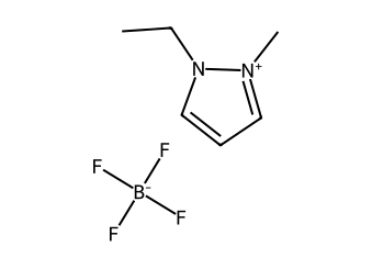 CCn1ccc[n+]1C.F[B-](F)(F)F